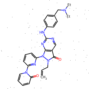 C=CCn1c(=O)c2cnc(Nc3ccc(CN(CC)CC)cc3)nc2n1-c1cccc(-n2ccccc2=O)n1